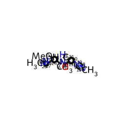 COc1ccc([C@@H](C)NC(=O)c2cc(N3CCN(C)CC3)ccc2C)cc1-c1ccn(C)n1